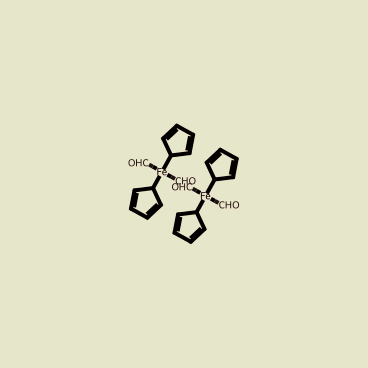 O=[CH][Fe]([CH]=O)([CH]1C=CC=C1)[CH]1C=CC=C1.O=[CH][Fe]([CH]=O)([CH]1C=CC=C1)[CH]1C=CC=C1